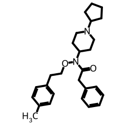 Cc1ccc(CCON(C(=O)Cc2ccccc2)C2CCN(C3CCCC3)CC2)cc1